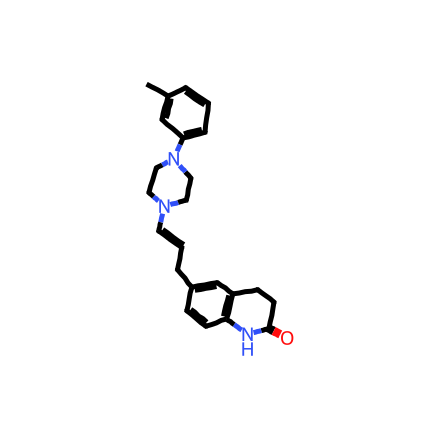 Cc1cccc(N2CCN(C=CCc3ccc4c(c3)CCC(=O)N4)CC2)c1